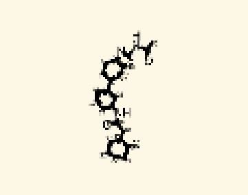 CC(=O)Nc1nc2ccc(-c3cccc(NC(=O)Cc4ccccc4Cl)c3)cc2s1